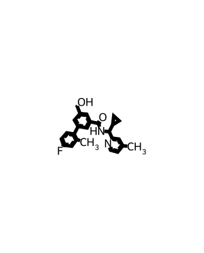 Cc1ccnc(C(NC(=O)c2cc(CO)cc(-c3ccc(F)cc3C)c2)C2CC2)c1